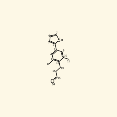 Cc1cc(-c2cccs2)cc(C)c1CCC=O